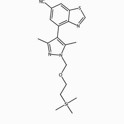 Cc1nn(COCC[Si](C)(C)C)c(C)c1-c1cc(C#N)cc2scnc12